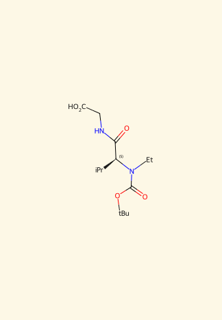 CCN(C(=O)OC(C)(C)C)[C@H](C(=O)NCC(=O)O)C(C)C